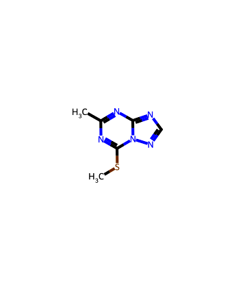 CSc1nc(C)nc2ncnn12